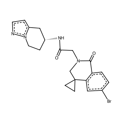 O=C(CN1CC2(CC2)c2cc(Br)ccc2C1=O)N[C@@H]1CCn2nccc2C1